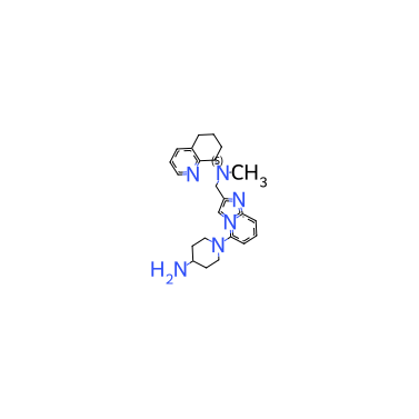 CN(Cc1cn2c(N3CCC(N)CC3)cccc2n1)[C@H]1CCCc2cccnc21